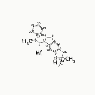 CC(C[C]1C=Cc2cc3c(cc21)CC(C)(C)C3)c1ccccc1.[Hf]